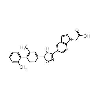 Cc1ccccc1-c1ccc(C2NC(c3ccc4c(ccn4CC(=O)O)c3)=NO2)cc1C